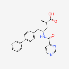 C[C@H](CC(Cc1ccc(-c2ccccc2)cc1)NC(=O)c1ccncn1)C(=O)O